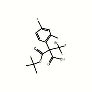 CC(C)(C)OC(=O)C(C(=O)O)(c1ccc(F)cc1F)C(F)(F)Br